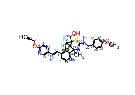 C#CCOc1cnc(/C(F)=C/c2ccc(F)c([C@@]3(C)N=C(NCc4ccc(OC)cc4)S[C@]4(CO)[C@H]3C4(F)F)c2)cn1